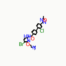 Cc1nc(-c2ccc(-c3ccc(C(=O)Nc4ccc(Br)c(OCCN(C)C)n4)cc3)c(Cl)c2)no1